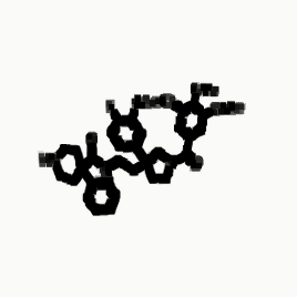 COc1cc(C(=O)N2CCC(CCNC(=O)C3(c4ccccc4)CCNCC3)(c3ccc(F)c(F)c3)C2)cc(OC)c1OC